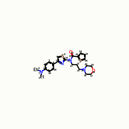 CCN(CC)c1ccc(-c2csc(N(CCCN3CCOCC3)C(=O)c3cccs3)n2)cc1